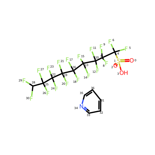 O=S(=O)(O)C(F)(F)C(F)(F)C(F)(F)C(F)(F)C(F)(F)C(F)(F)C(F)(F)C(F)(F)C(F)F.c1ccncc1